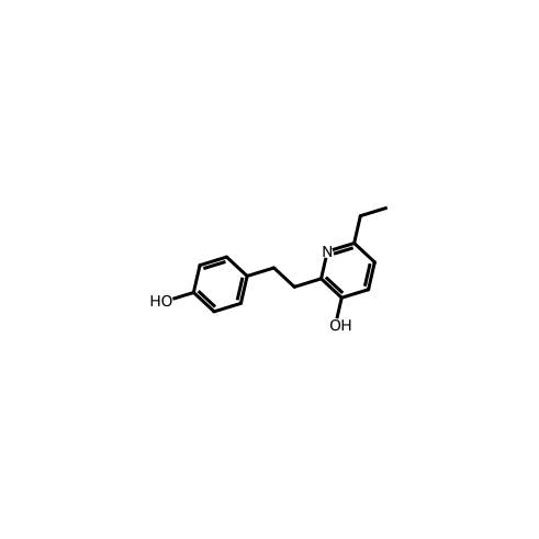 CCc1ccc(O)c(CCc2ccc(O)cc2)n1